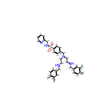 O=S(=O)(NCc1ccccn1)c1ccc(CN(CCNCc2ccc(F)c(F)c2)CCNCc2ccc(F)c(F)c2)cc1